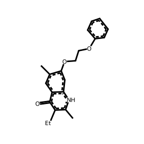 CCc1c(C)[nH]c2cc(OCCOc3ccccc3)c(C)cc2c1=O